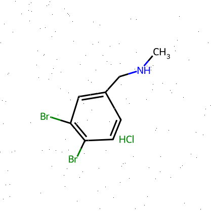 CNCc1ccc(Br)c(Br)c1.Cl